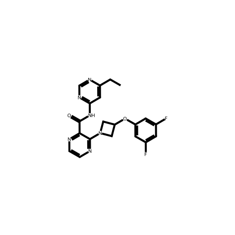 CCc1cc(NC(=O)c2nccnc2N2CC(Oc3cc(F)cc(F)c3)C2)ncn1